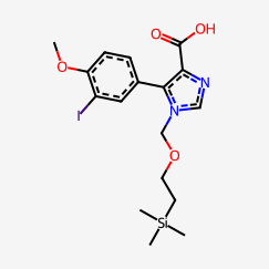 COc1ccc(-c2c(C(=O)O)ncn2COCC[Si](C)(C)C)cc1I